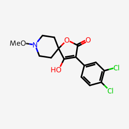 CON1CCC2(CC1)OC(=O)C(c1ccc(Cl)c(Cl)c1)=C2O